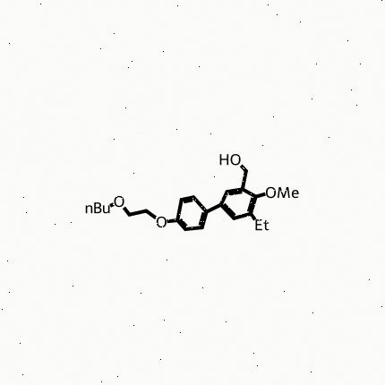 CCCCOCCOc1ccc(-c2cc(CC)c(OC)c(CO)c2)cc1